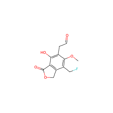 COc1c(CC=O)c(O)c2c(c1CF)COC2=O